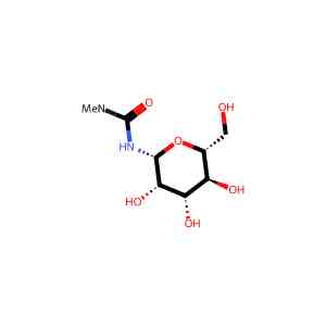 CNC(=O)N[C@@H]1O[C@H](CO)[C@@H](O)[C@H](O)[C@@H]1O